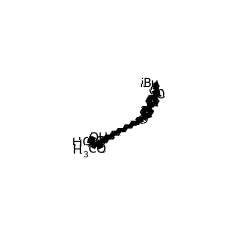 CCC(C)COC(=O)c1ccc(-c2ccc(OCCCCCCCCCCCCOC(=O)C(C)C(O)O)cc2)cc1